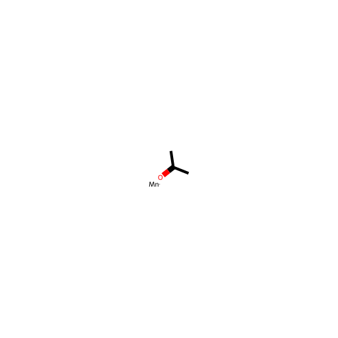 CC(C)=O.[Mn]